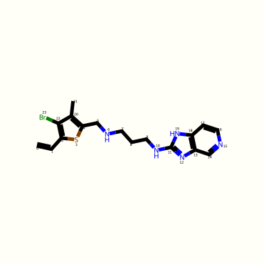 C=Cc1sc(CNCCCNc2nc3cnccc3[nH]2)c(C)c1Br